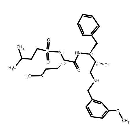 COc1cccc(CNC[C@@H](O)[C@H](Cc2ccccc2)NC(=O)[C@H](CCSC)NS(=O)(=O)CCC(C)C)c1